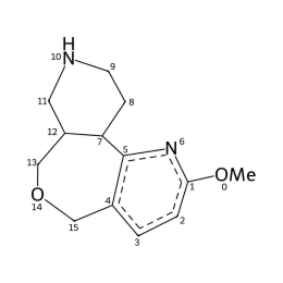 COc1ccc2c(n1)C1CCNCC1COC2